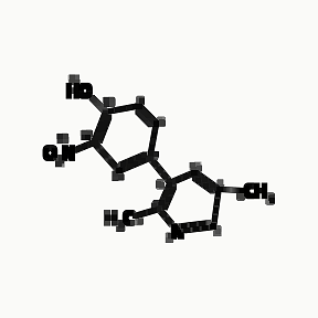 Cc1cnc(C)c(-c2ccc(O)c([N+](=O)[O-])c2)c1